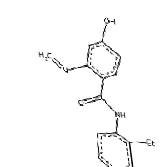 C=Nc1cc(O)ccc1C(=O)Nc1ccccc1CC